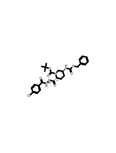 CC(C)(C)OC(=O)N1C[C@@H](NC(=O)OCc2ccccc2)CC[C@@H]1C(=O)NNC(=O)c1ccc(Cl)cc1